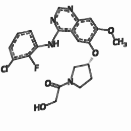 COc1cc2ncnc(Nc3cccc(Cl)c3F)c2cc1O[C@@H]1CCN(C(=O)CO)C1